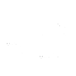 COC(=O)c1ccc(Oc2cc(C(=O)OC)ccc2CN2CCCC2=O)cc1